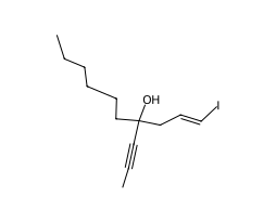 CC#CC(O)(CC=CI)CCCCCC